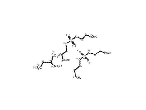 CCCCCCCCCCCCOS(=O)(=O)OCCCCCCCCCCCC.CCCCCCCCCCCCOS(=O)(=O)OCCCCCCCCCCCC.O=C(O)CC(C(=O)O)S(=O)(=O)O